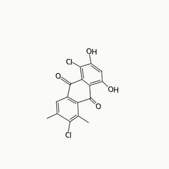 Cc1cc2c(c(C)c1Cl)C(=O)c1c(O)cc(O)c(Cl)c1C2=O